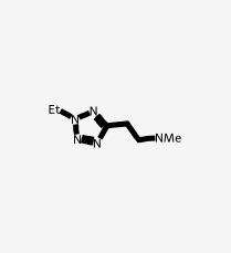 CCn1nnc(CCNC)n1